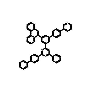 c1ccc(-c2ccc(-c3nc(-c4ccccc4)nc(-c4cc(-c5ccc(-c6cccnc6)cc5)cc(-c5cc6ccccc6c6ccccc56)c4)n3)cc2)cc1